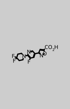 O=C(O)c1cc(-c2cnc(N3CCC(F)(F)CC3)c(F)c2)no1